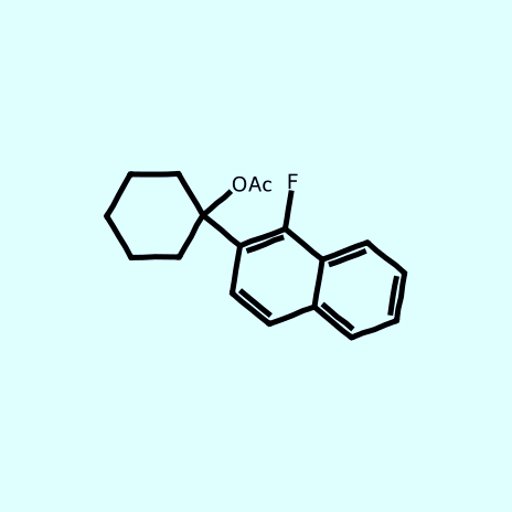 CC(=O)OC1(c2ccc3ccccc3c2F)CCCCC1